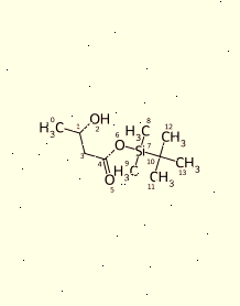 CC(O)CC(=O)O[Si](C)(C)C(C)(C)C